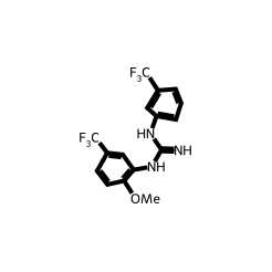 COc1ccc(C(F)(F)F)cc1NC(=N)Nc1cccc(C(F)(F)F)c1